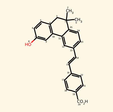 CC1(C)Cc2ccc(O)cc2-c2cc(C=Cc3ccc(C(=O)O)cc3)ccc21